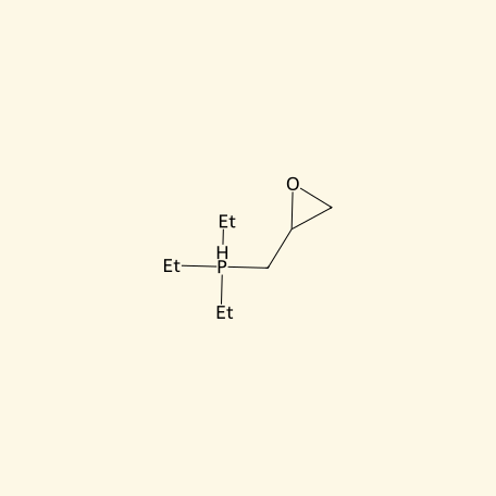 CC[PH](CC)(CC)CC1CO1